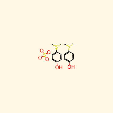 C[S+](C)c1ccc(O)cc1.C[S+](C)c1ccc(O)cc1.O=S(=O)([O-])[O-]